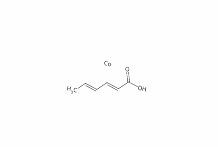 C/C=C/C=C/C(=O)O.[Co]